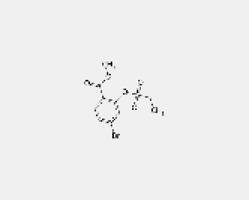 CCS(=O)(=O)Oc1cc(Br)ccc1C(=O)OC